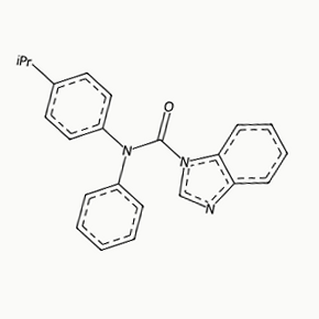 CC(C)c1ccc(N(C(=O)n2cnc3ccccc32)c2ccccc2)cc1